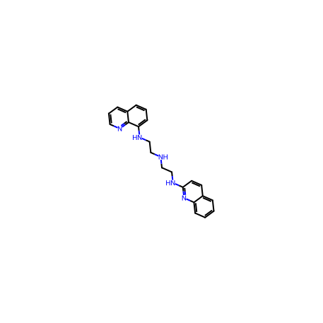 c1ccc2nc(NCCNCCNc3cccc4cccnc34)ccc2c1